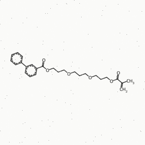 C=C(C)C(=O)OCCCOCCCOCCCOC(=O)c1cccc(-c2ccccc2)c1